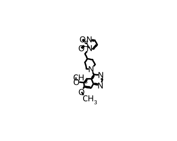 COc1cc2ncnc(N3CCC(CN4C=CC=NS4(=O)=O)CC3)c2cc1OC